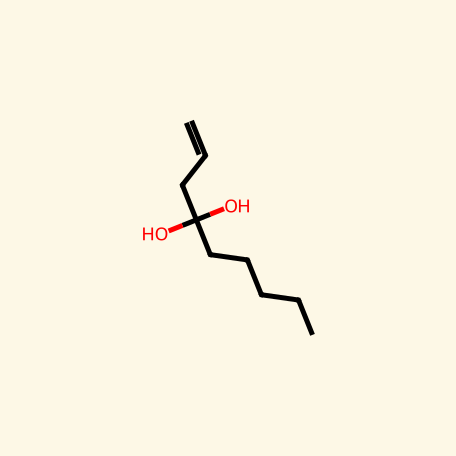 C=CCC(O)(O)CCCCC